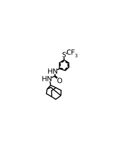 O=C(Nc1cccc(SC(F)(F)F)c1)NC1C2CC3CC(C2)CC1C3